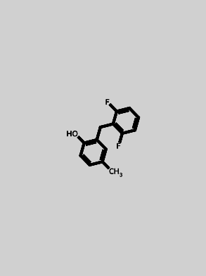 Cc1ccc(O)c(Cc2c(F)cccc2F)c1